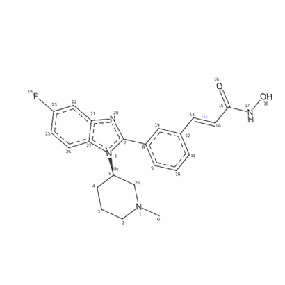 CN1CCC[C@@H](n2c(-c3cccc(/C=C/C(=O)NO)c3)nc3cc(F)ccc32)C1